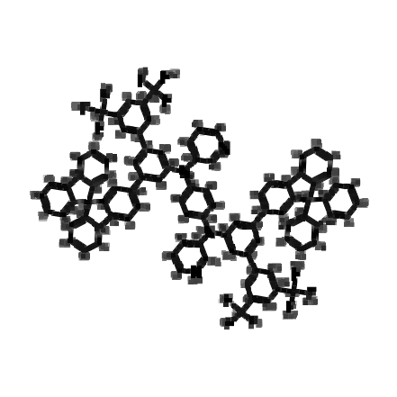 FC(F)(F)c1cc(-c2cc(-c3ccc4c(c3)C3(c5ccccc5-c5ccccc53)c3ccccc3-4)cc(N(c3ccc(N(c4cccnc4)c4cc(-c5cc(C(F)(F)F)cc(C(F)(F)F)c5)cc(-c5ccc6c(c5)C5(c7ccccc7-c7ccccc75)c5ccccc5-6)c4)cc3)c3cccnc3)c2)cc(C(F)(F)F)c1